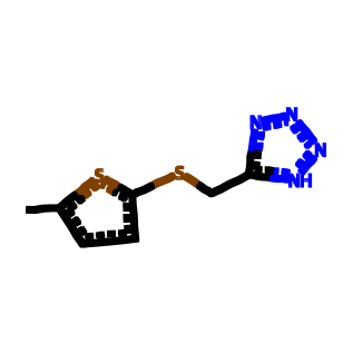 Cc1ccc(SCc2nnn[nH]2)s1